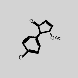 CC(=O)O[C@H]1C=CC(=O)C1c1ccc(Cl)cc1